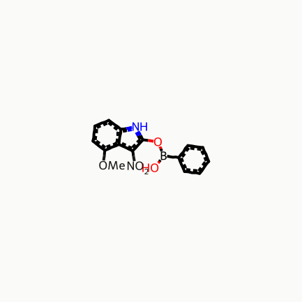 COc1cccc2[nH]c(OB(O)c3ccccc3)c([N+](=O)[O-])c12